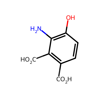 Nc1c(O)ccc(C(=O)O)c1C(=O)O